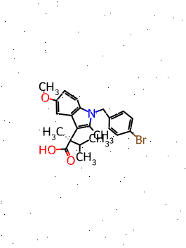 COc1ccc2c(c1)c([C@](C)(C(=O)O)C(C)C)c(C)n2Cc1ccc(Br)cc1